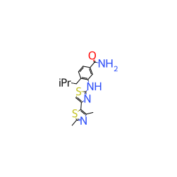 Cc1nc(C)c(-c2csc(Nc3cc(C(N)=O)ccc3CC(C)C)n2)s1